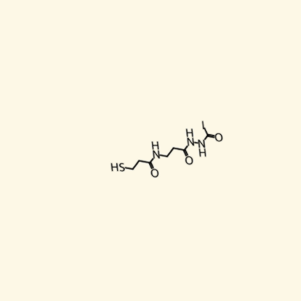 O=C(I)NNC(=O)CCNC(=O)CCS